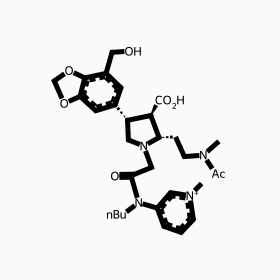 CCCCN(C(=O)CN1C[C@H](c2cc(CO)c3c(c2)OCO3)[C@@H](C(=O)O)[C@@H]1CCN(C)C(C)=O)c1ccc[n+](C)c1